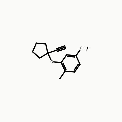 C#CC1(Oc2cc(C(=O)O)ccc2C)CCCC1